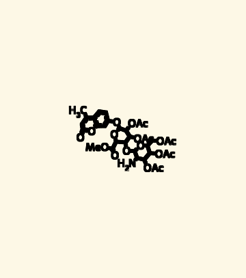 COC(=O)C1OC(Oc2ccc3c(C)cc(=O)oc3c2)C(OC(C)=O)C(OC(C)=O)C1OC1OC(COC(C)=O)C(OC(C)=O)C(OC(C)=O)C1N